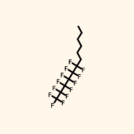 CCCCCCC(F)(F)C(F)(F)C(F)(F)C(F)(F)C(F)(F)C(F)(F)F